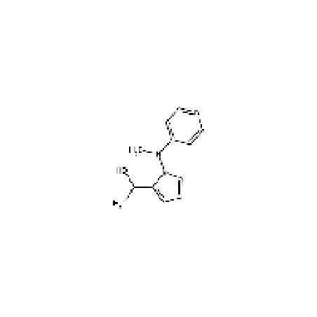 CC(O)c1cccn1N(C)c1ccncc1